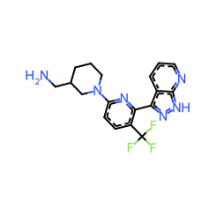 NCC1CCCN(c2ccc(C(F)(F)F)c(-c3n[nH]c4ncccc34)n2)C1